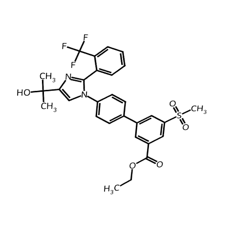 CCOC(=O)c1cc(-c2ccc(-n3cc(C(C)(C)O)nc3-c3ccccc3C(F)(F)F)cc2)cc(S(C)(=O)=O)c1